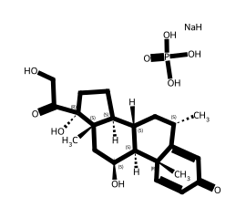 C[C@H]1C[C@@H]2[C@H]([C@@H](O)C[C@@]3(C)[C@H]2CC[C@]3(O)C(=O)CO)[C@@]2(C)C=CC(=O)C=C12.O=P(O)(O)O.[NaH]